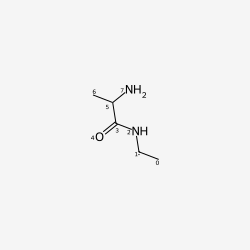 C[CH]NC(=O)C(C)N